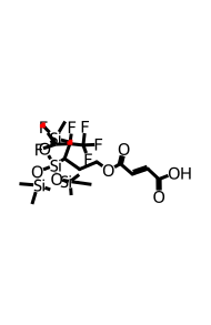 C[Si](C)(C)O[Si](O[Si](C)(C)C)(O[Si](C)(C)C)C(CCOC(=O)C=CC(=O)O)C(F)(C(F)F)C(F)(F)F